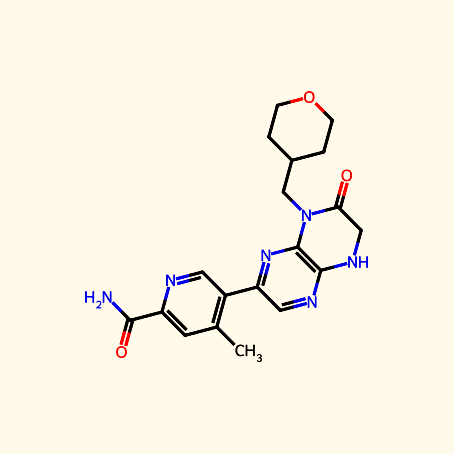 Cc1cc(C(N)=O)ncc1-c1cnc2c(n1)N(CC1CCOCC1)C(=O)CN2